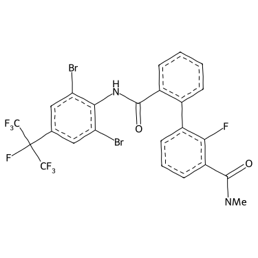 CNC(=O)c1cccc(-c2ccccc2C(=O)Nc2c(Br)cc(C(F)(C(F)(F)F)C(F)(F)F)cc2Br)c1F